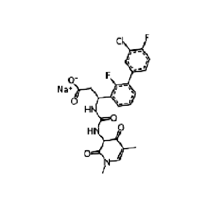 CC1=CN(C)C(=O)C(NC(=O)NC(CC(=O)[O-])c2cccc(-c3ccc(F)c(Cl)c3)c2F)C1=O.[Na+]